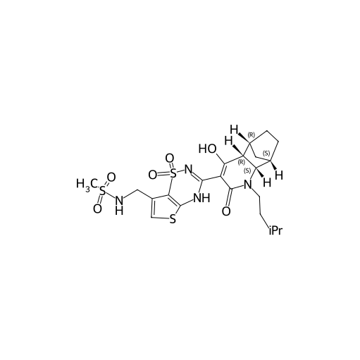 CC(C)CCN1C(=O)C(C2=NS(=O)(=O)c3c(CNS(C)(=O)=O)csc3N2)=C(O)[C@@H]2[C@@H]3CC[C@@H](C3)[C@@H]21